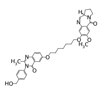 COc1cc2c(cc1OCCCCCCCOc1ccc3nc(C)n(-c4ccc(CO)cc4)c(=O)c3c1)N=C[C@@H]1CCCN1C2=O